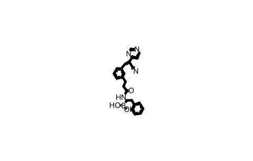 N#CC(=Cc1cccc(CCC(=O)NC(Cc2ccccc2)B(O)O)c1)c1ccncn1